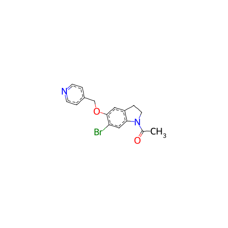 CC(=O)N1CCc2cc(OCc3ccncc3)c(Br)cc21